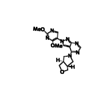 COc1ncc(-n2cc3c(N4C[C@@H]5COC[C@H]5C4)ncnc3n2)c(OC)n1